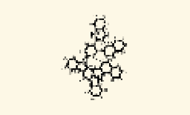 c1ccc2c(-c3nc4ccccc4nc3-c3ccc(-n4c5ccccc5c5cc6c7ccccc7n7c8c9ccccc9ccc8c(c54)c67)cc3)cccc2c1